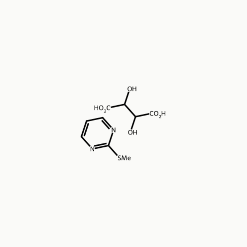 CSc1ncccn1.O=C(O)C(O)C(O)C(=O)O